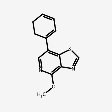 COc1ncc(C2=CC=CCC2)c2scnc12